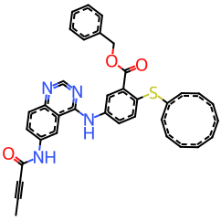 CC#CC(=O)Nc1ccc2ncnc(Nc3ccc(Sc4ccccccccc4)c(C(=O)OCc4ccccc4)c3)c2c1